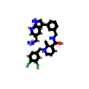 C=C1C(C(=O)NCc2cccc(-c3c[nH]c4ncc(CN)cc34)c2)=CC=CN1Cc1ccc(F)c(F)c1